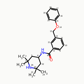 CC1(C)CC(NC(=O)c2cccc(COc3ccccc3)c2)CC(C)(C)N1